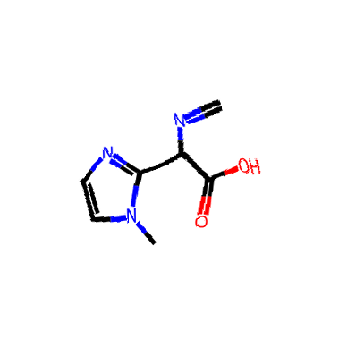 C=NC(C(=O)O)c1nccn1C